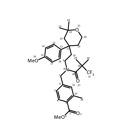 COC(=O)c1ccc(CN(CCC2(c3ccc(OC)cc3)CCOC(C)(C)C2)C(=O)C(C)(C)C(F)(F)F)cc1C